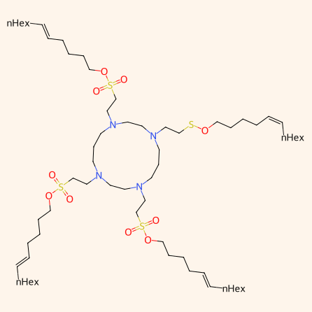 CCCCCC/C=C\CCCCOSCCN1CCCN(CCS(=O)(=O)OCCCC/C=C/CCCCCC)CCN(CCS(=O)(=O)OCCCC/C=C/CCCCCC)CCCN(CCS(=O)(=O)OCCCC/C=C/CCCCCC)CC1